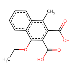 CCOc1c(C(=O)O)c(C(=O)O)c(C)c2ccccc12